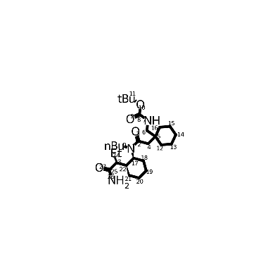 CCCCN(C(=O)CC1(CNC(=O)OC(C)(C)C)CCCCC1)[C@H]1CCCC[C@H]1[C@H](CC)C(N)=O